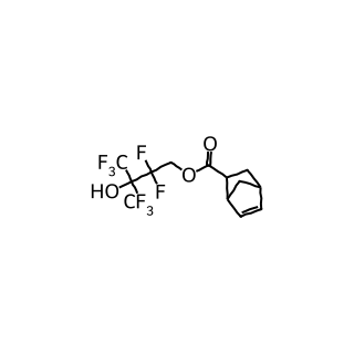 O=C(OCC(F)(F)C(O)(C(F)(F)F)C(F)(F)F)C1CC2C=CC1C2